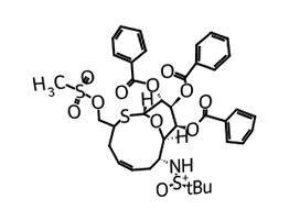 CC(C)(C)[S@@+]([O-])N[C@@H]1C/C=C\CC(COS(C)(=O)=O)S[C@H]2O[C@H]1[C@H](OC(=O)c1ccccc1)[C@H](OC(=O)c1ccccc1)[C@H]2OC(=O)c1ccccc1